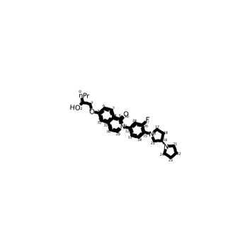 CCCC(O)COc1ccc2c(=O)n(-c3ccc(N4CC[C@@H](N5CCCC5)C4)c(F)c3)ccc2c1